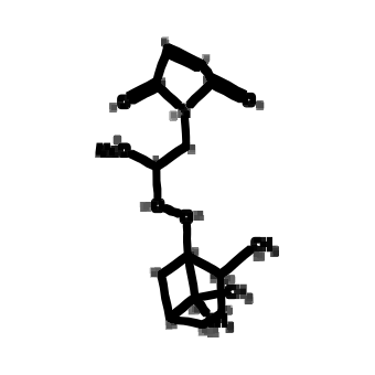 COC(CN1C(=O)C=CC1=O)OOC12CC(CCC1C)C2(C)C